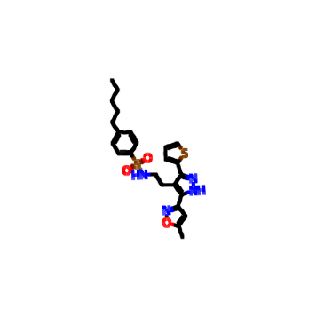 CCCCCc1ccc(S(=O)(=O)NCCc2c(-c3cccs3)n[nH]c2-c2cc(C)on2)cc1